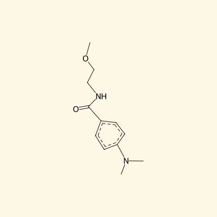 COCCNC(=O)c1ccc(N(C)C)cc1